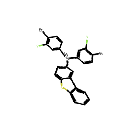 CCc1ccc([SiH](c2ccc(CC)c(F)c2)c2ccc3sc4ccccc4c3c2)cc1F